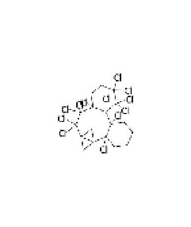 ClC1(Cl)CCC2(Cl)C(Cl)(Cl)C(Cl)(Cl)C34CC3(C4)C3(Cl)CCCCC3(Cl)C2(Cl)C1(Cl)Cl